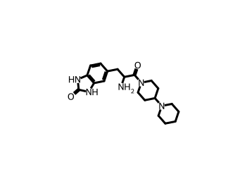 NC(Cc1ccc2[nH]c(=O)[nH]c2c1)C(=O)N1CCC(N2CCCCC2)CC1